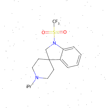 CC(C)N1CCC2(CC1)CN(S(=O)(=O)C(F)(F)F)c1ccccc12